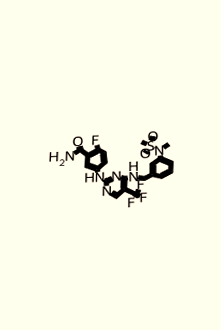 CN(c1cccc(CNc2nc(Nc3ccc(F)c(C(N)=O)c3)ncc2C(F)(F)F)c1)S(C)(=O)=O